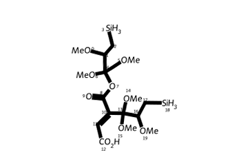 COC(C[SiH3])C(OC)(OC)OC(=O)/C(=C/C(=O)O)C(OC)(OC)C(C[SiH3])OC